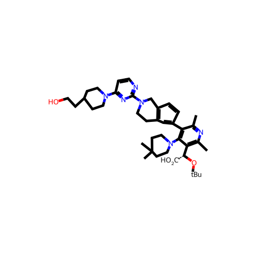 Cc1nc(C)c([C@H](OC(C)(C)C)C(=O)O)c(N2CCC(C)(C)CC2)c1-c1ccc2c(c1)CCN(c1nccc(N3CCC(CCO)CC3)n1)C2